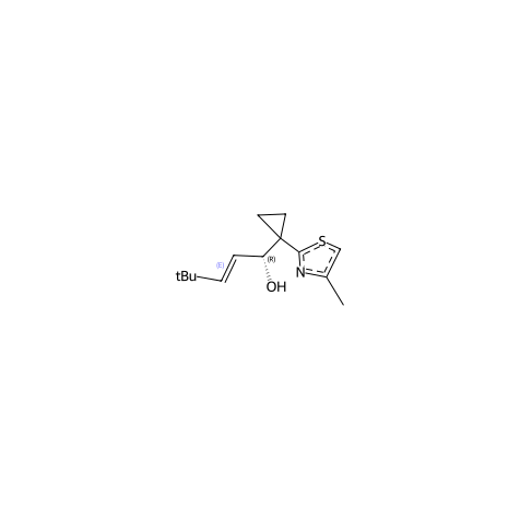 Cc1csc(C2([C@H](O)/C=C/C(C)(C)C)CC2)n1